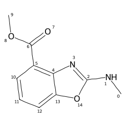 CNc1nc2c(C(=O)OC)cccc2o1